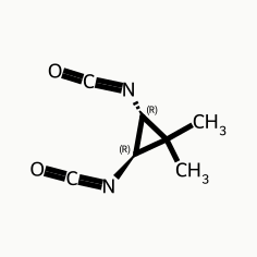 CC1(C)[C@@H](N=C=O)[C@@H]1N=C=O